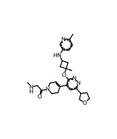 CNCC(=O)N1CC=C(c2cc(C3CCOC3)nnc2OC2(C)CC(Nc3ccc(C)nc3)C2)CC1